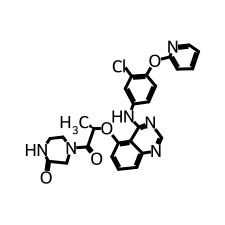 C[C@@H](Oc1cccc2ncnc(Nc3ccc(Oc4ccccn4)c(Cl)c3)c12)C(=O)N1CCNC(=O)C1